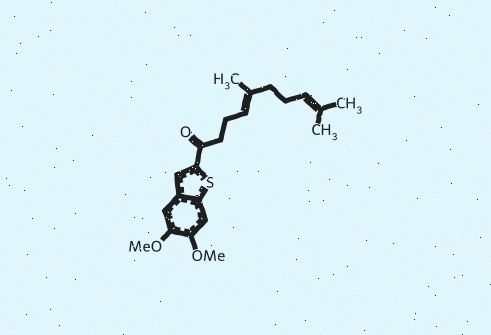 COc1cc2cc(C(=O)CC/C=C(\C)CCC=C(C)C)sc2cc1OC